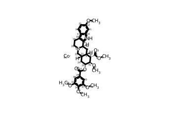 COC(=O)[C@H]1[C@H]2C[C@@H]3c4[nH]c5cc(OC)ccc5c4CCN3C[C@H]2C[C@@H](OC(=O)c2cc(OC)c(OC)c(OC)c2)[C@@H]1OC.[Co]